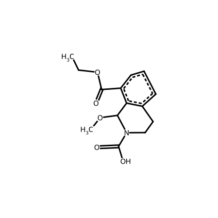 CCOC(=O)c1cccc2c1C(OC)N(C(=O)O)CC2